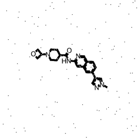 Cn1cc(-c2ccc3cnc(NC(=O)C4CCN(C5COC5)CC4)cc3c2)cn1